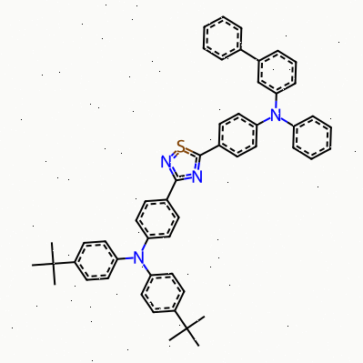 CC(C)(C)c1ccc(N(c2ccc(-c3nsc(-c4ccc(N(c5ccccc5)c5cccc(-c6ccccc6)c5)cc4)n3)cc2)c2ccc(C(C)(C)C)cc2)cc1